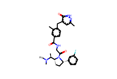 CC(=O)N(C)[C@@H](C)[C@H]1CC[C@@H](c2cccc(F)c2)N1C(=O)CNC(=O)c1ccc(Cc2cc(C)n[nH]c2=O)c(C)c1